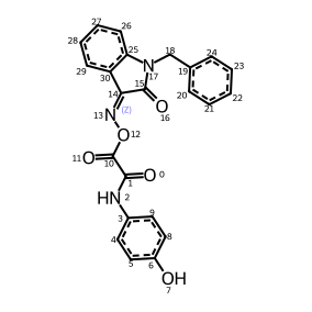 O=C(Nc1ccc(O)cc1)C(=O)O/N=C1\C(=O)N(Cc2ccccc2)c2ccccc21